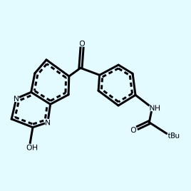 CC(C)(C)C(=O)Nc1ccc(C(=O)c2ccc3ncc(O)nc3c2)cc1